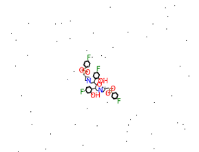 O=C(C(CN1CC(CS(=O)(=O)c2ccc(F)cc2)C1)c1ccc(F)cc1O)C(CN1CC(CS(=O)(=O)c2ccc(F)cc2)C1)c1ccc(F)cc1O